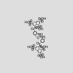 Cc1ccc(C(=O)N=C2C=C(S(=O)(=O)O)CC3=CC(S(=O)(=O)O)=CC(S(=O)(=O)O)C32)cc1NC(=O)Nc1cc(C(=O)N=C2C=C(S(=O)(=O)O)CC3=CC(S(=O)(=O)O)=CC(S(=O)(=O)O)C32)ccc1C